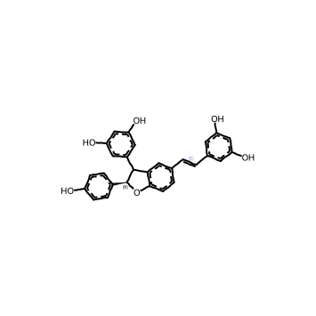 Oc1ccc([C@@H]2Oc3ccc(/C=C/c4cc(O)cc(O)c4)cc3C2c2cc(O)cc(O)c2)cc1